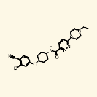 CCN1CCN(c2ccc(C(=O)N[C@H]3CC[C@H](Oc4ccc(C#N)c(Cl)c4)CC3)nn2)CC1